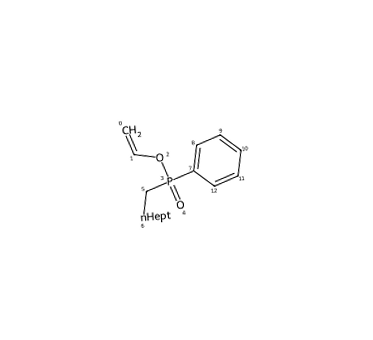 C=COP(=O)(CCCCCCCC)c1ccccc1